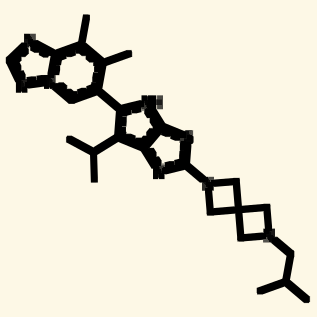 Cc1c(-c2[nH]c3sc(N4CC5(CN(CC(C)C)C5)C4)nc3c2C(C)C)cn2ncnc2c1C